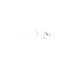 COC(=O)c1ccc(-c2noc(-c3ccc(N4CCCCC4C)c(NS(C)(=O)=O)c3)n2)cc1F